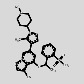 Cc1c(-c2cc(OC(C)c3ccccc3S(C)(=O)=O)c3c(C#N)cnn3c2)cnn1C1CCN(C#N)CC1